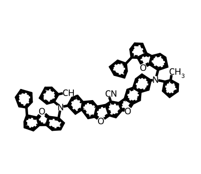 Cc1ccccc1N(c1ccc2cc3c(cc2c1)oc1cc2oc4cc5cc(N(c6ccccc6C)c6cccc7c6oc6c(-c8ccccc8)cccc67)ccc5cc4c2c(C#N)c13)c1cccc2c1oc1c(-c3ccccc3)cccc12